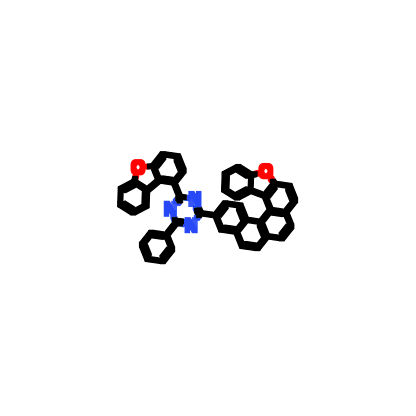 c1ccc(-c2nc(-c3ccc4c(ccc5ccc6ccc7oc8ccccc8c7c6c54)c3)nc(-c3cccc4oc5ccccc5c34)n2)cc1